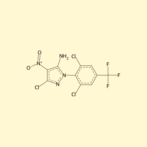 Nc1c([N+](=O)[O-])c(Cl)nn1-c1c(Cl)cc(C(F)(F)F)cc1Cl